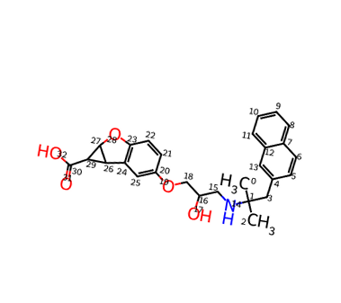 CC(C)(Cc1ccc2ccccc2c1)NCC(O)COc1ccc2c(c1)C1C(O2)C1C(=O)O